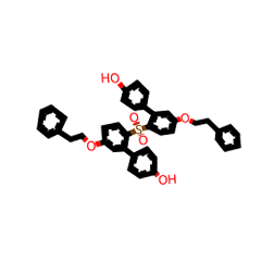 O=S(=O)(c1ccc(OCCc2ccccc2)cc1-c1ccc(O)cc1)c1ccc(OCCc2ccccc2)cc1-c1ccc(O)cc1